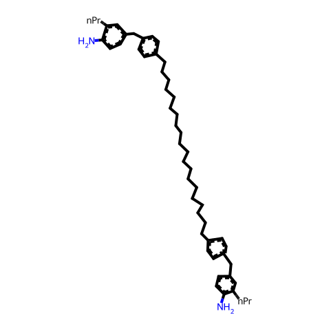 CCCc1cc(Cc2ccc(CCCCCCCCCCCCCCCCCCCCc3ccc(Cc4ccc(N)c(CCC)c4)cc3)cc2)ccc1N